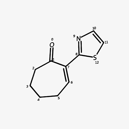 O=C1CCCCC=C1c1nccs1